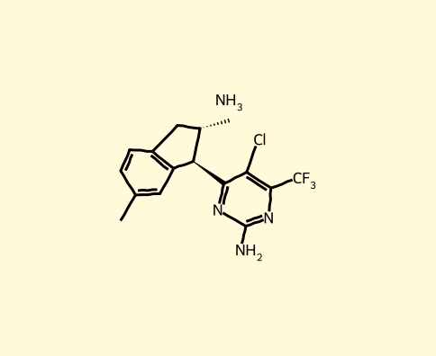 Cc1ccc2c(c1)[C@H](c1nc(N)nc(C(F)(F)F)c1Cl)[C@@H](C)C2.N